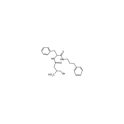 CC(C)CC(CC(=O)NC(Cc1ccccc1)C(=S)NCCCc1ccccc1)C(=O)O